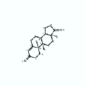 CC12CC[C@@]3(C)C(CCC4=CC(=O)CCC43C)C1CCC2=O